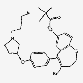 CC(C)(C)C(=O)Oc1ccc2c(c1)C(c1ccc(O[C@H]3CCN(CCCF)C3)cc1)=C(Br)CCS2